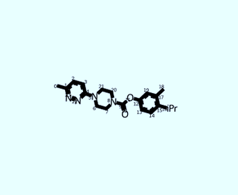 Cc1ccc(N2CCN(C(=O)Oc3ccc(C(C)C)c(C)c3)CC2)nn1